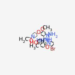 C=CC(=O)N1CCC(Oc2cc(C(=N)Nc3cc(Oc4ncccc4Br)ccc3C(C)(C)O)c(NN)cc2OC)CC1